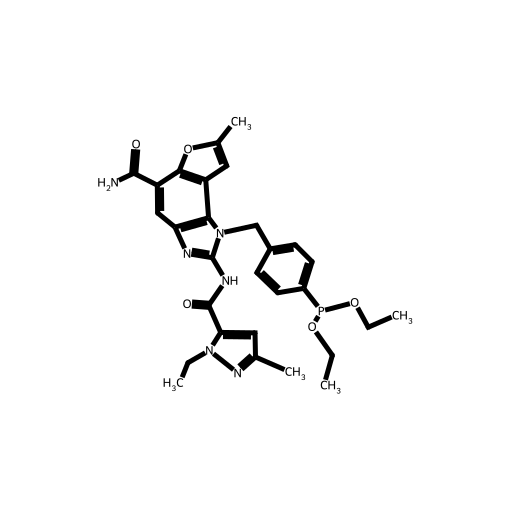 CCOP(OCC)c1ccc(Cn2c(NC(=O)c3cc(C)nn3CC)nc3cc(C(N)=O)c4oc(C)cc4c32)cc1